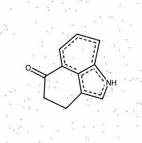 O=C1CCc2c[nH]c3cccc1c23